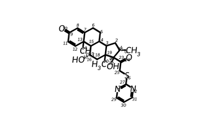 C[C@@H]1CC2C3CCC4=CC(=O)C=CC4(C)C3[C@@H](O)CC2(C)[C@@]1(O)C(=O)CSc1ncccn1